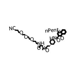 CCCCCn1cc(C(=O)N[C@H]2CC[C@@H](CCC(=O)N(C)CC(=O)NCCCOCCOCCOCCCC#N)CC2)c(=O)c2ccccc21